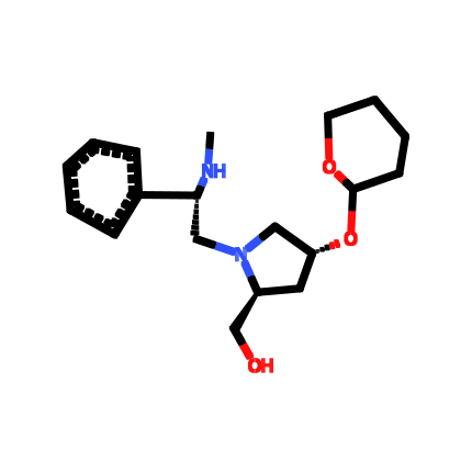 CN[C@H](CN1C[C@H](OC2CCCCO2)C[C@H]1CO)c1ccccc1